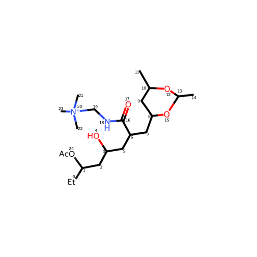 CCC(CC(O)CC(CC1CC(C)OC(C)O1)C(=O)NC[N+](C)(C)C)OC(C)=O